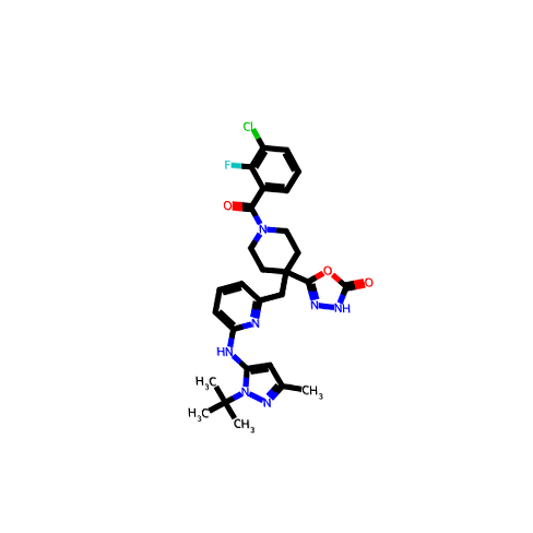 Cc1cc(Nc2cccc(CC3(c4n[nH]c(=O)o4)CCN(C(=O)c4cccc(Cl)c4F)CC3)n2)n(C(C)(C)C)n1